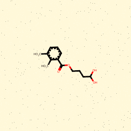 O=C(O)c1cccc(C(=O)OCCCC(O)O)c1S(=O)(=O)O